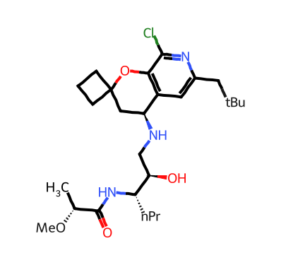 CCC[C@H](NC(=O)[C@@H](C)OC)[C@H](O)CN[C@H]1CC2(CCC2)Oc2c1cc(CC(C)(C)C)nc2Cl